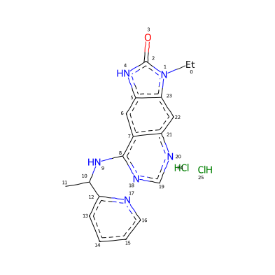 CCn1c(=O)[nH]c2cc3c(NC(C)c4ccccn4)ncnc3cc21.Cl.Cl